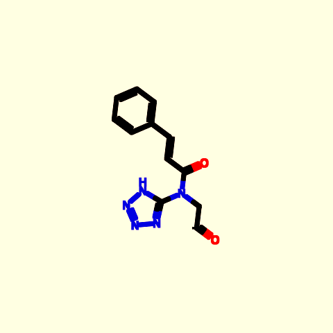 O=[C]CN(C(=O)/C=C/c1ccccc1)c1nnn[nH]1